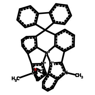 Cn1c2[n+](c3ccccc31)[N+]13c4c-2cccc4C2(c4ccccc4-c4ccccc42)c2cccc(c21)-c1n(C)c2ccccc2[n+]13